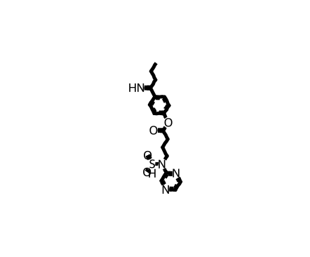 CCCC(=N)c1ccc(OC(=O)CCCN(c2cnccn2)[SH](=O)=O)cc1